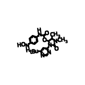 CC1C(OC(=O)Nc2ccc(NO)cc2)N(c2cc(C(C)(C)C)ncn2)C(=O)N1C